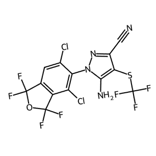 N#Cc1nn(-c2c(Cl)cc3c(c2Cl)C(F)(F)OC3(F)F)c(N)c1SC(F)(F)F